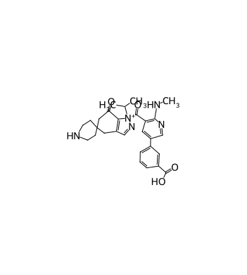 CNc1ncc(-c2cccc(C(=O)O)c2)cc1C(=O)[N+]1(C(C)C)N=CC2=C1C(=O)CC1(CCNCC1)C2